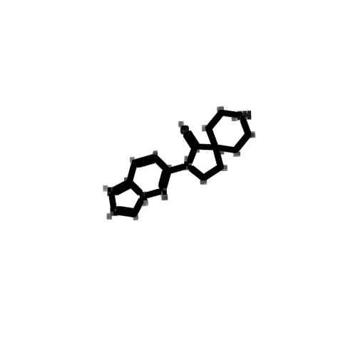 O=C1N(c2ccc3nncn3n2)CCC12CCNCC2